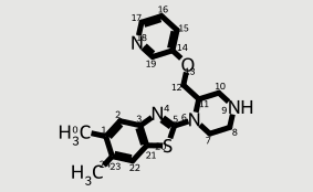 Cc1cc2nc(N3CCNCC3COc3cccnc3)sc2cc1C